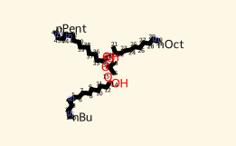 CCCC/C=C\C/C=C\CCCCCCCC(O)OCC(COC(C)CCCCCCC/C=C\CCCCCCCC)OC(O)CCCCCCC/C=C\C/C=C\CCCCC